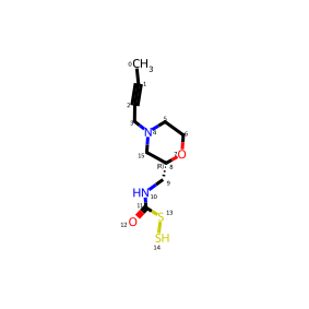 CC#CCN1CCO[C@H](CNC(=O)SS)C1